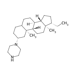 CC[C@H]1CC[C@H]2[C@@H]3CCC4CC[C@@H](N5CCNCC5)C[C@]4(C)[C@H]3CC[C@]12C